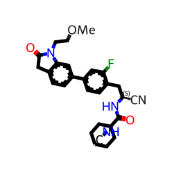 COCCN1C(=O)Cc2ccc(-c3ccc(C[C@@H](C#N)NC(=O)C45CCC(CC4)CN5)c(F)c3)cc21